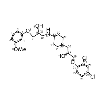 COc1cccc(OC[C@@H](O)CNC2CCN(C[C@H](O)COc3ccc(Cl)cc3Cl)CC2)c1